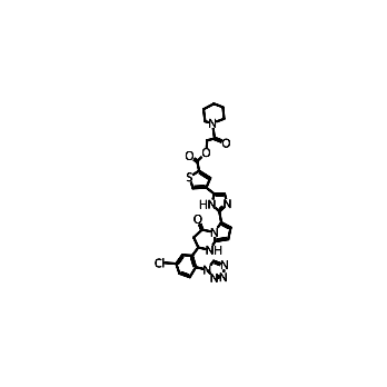 O=C(OCC(=O)N1CCCCC1)c1cc(-c2cnc(-c3ccc4n3C(=O)CC(c3cc(Cl)ccc3-n3cnnn3)N4)[nH]2)cs1